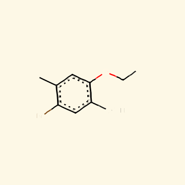 Cc1cc(OCC(F)(F)F)c(S(=O)(=O)O)cc1Br